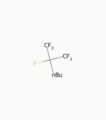 CCCCC(F)(C(F)(F)F)C(F)(F)F